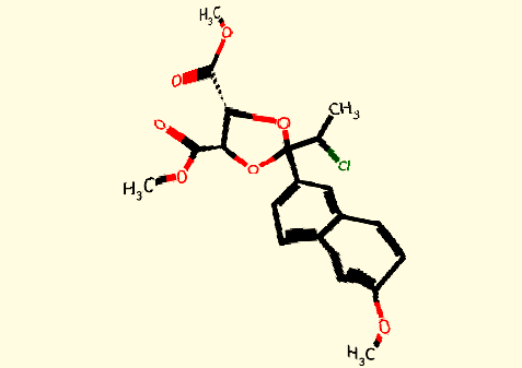 COC(=O)[C@@H]1OC(c2ccc3cc(OC)ccc3c2)(C(C)Cl)O[C@H]1C(=O)OC